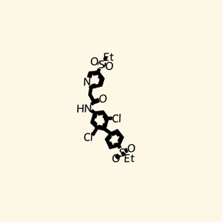 CCS(=O)(=O)c1ccc(-c2c(Cl)cc(NC(=O)Cc3ccc(S(=O)(=O)CC)cn3)cc2Cl)cc1